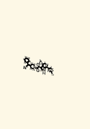 COc1cnc(-c2csc(C)n2)c2[nH]cc(C(=O)C(=O)N3CCC(=C(C#N)c4ccccc4)CC3)c12